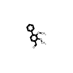 COc1c(C=O)ccc(-c2ccccc2)c1OC